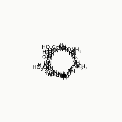 CCCC[C@H]1C(=O)N(C)[C@@H](CCCC)C(=O)N[C@@H](CC(C)C)C(=O)NCCC[C@H](N)C(=O)N[C@@H](Cc2ccc(C)cc2)C(=O)N2CCCC[C@H]2C(=O)N[C@@H](CC(N)=O)C(=O)N2CCC[C@H]2C(=O)N[C@@H](CN)C(=O)N[C@@H](CCC(=O)O)C(=O)N2C[C@H](O)C[C@H]2C(=O)N[C@@H](Cc2c[nH]c3ccccc23)C(=O)N[C@@H](CCN)C(=O)N[C@@H](Cc2cn(CC(=O)O)c3ccccc23)C(=O)N1C